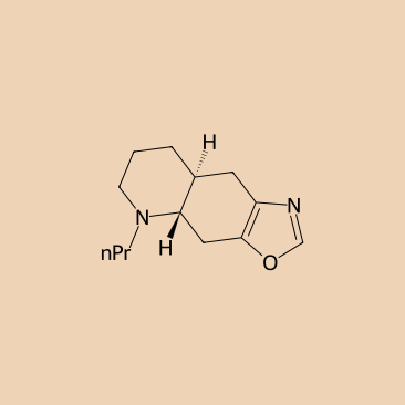 CCCN1CCC[C@H]2Cc3ncoc3C[C@@H]21